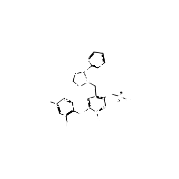 CCS(=O)(=O)Nc1cc(Br)c(Oc2ccc(F)cc2F)cc1CN1CCCC1c1ccccc1